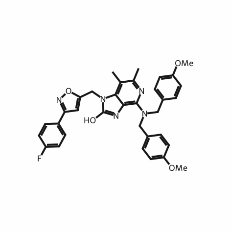 COc1ccc(CN(Cc2ccc(OC)cc2)c2nc(C)c(C)c3c2nc(O)n3Cc2cc(-c3ccc(F)cc3)no2)cc1